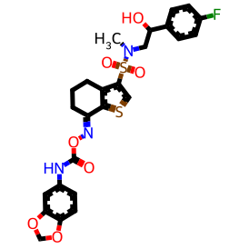 CN(CC(O)c1ccc(F)cc1)S(=O)(=O)c1csc2c1CCCC2=NOC(=O)Nc1ccc2c(c1)OCO2